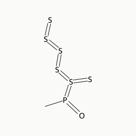 CP(=O)=S(=S)=S=S=S=S